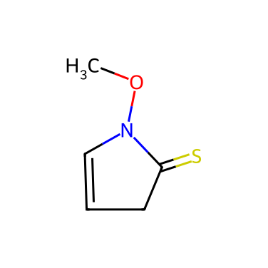 CON1C=CCC1=S